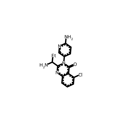 CCC(N)c1nc2cccc(Cl)c2c(=O)n1-c1ccc(N)nc1